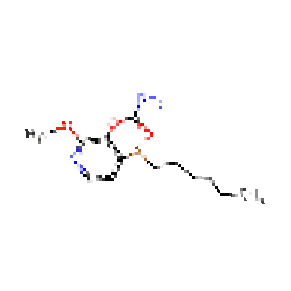 CCCCCCSc1ccnc(OC)c1OC(N)=O